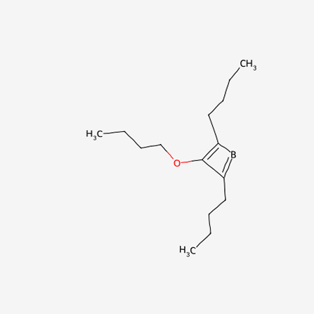 CCCCOC1=C(CCCC)B=C1CCCC